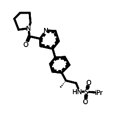 CC(C)S(=O)(=O)NC[C@H](C)c1ccc(-c2ccnc(C(=O)N3CCCCC3)c2)cc1